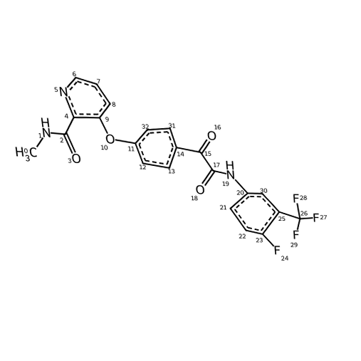 CNC(=O)c1ncccc1Oc1ccc(C(=O)C(=O)Nc2ccc(F)c(C(F)(F)F)c2)cc1